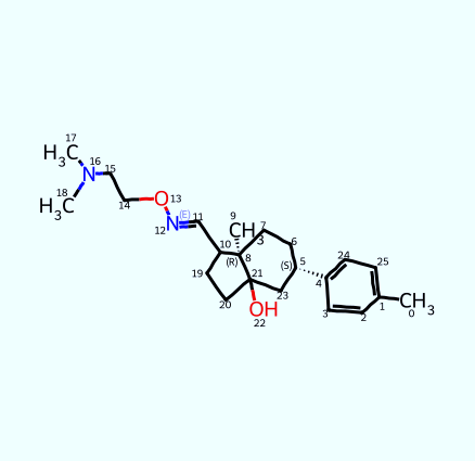 Cc1ccc([C@H]2CC[C@]3(C)C(/C=N/OCCN(C)C)CCC3(O)C2)cc1